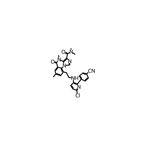 Cc1cc(CCNc2ccc(Cl)nc2-c2ccc(C#N)cc2)c2c(c1)c(=O)n(C)c1c(C(=O)N(C)C)ncn21